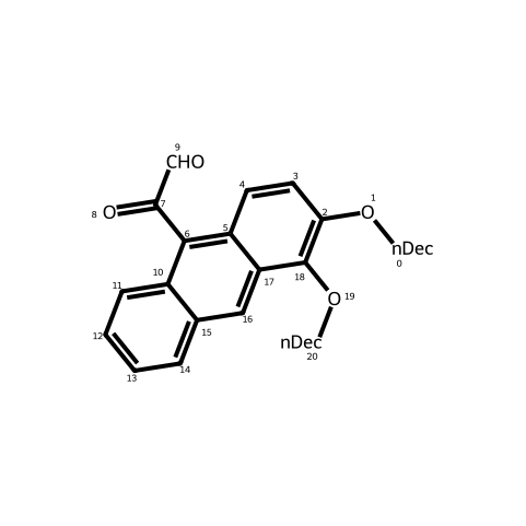 CCCCCCCCCCOc1ccc2c(C(=O)C=O)c3ccccc3cc2c1OCCCCCCCCCC